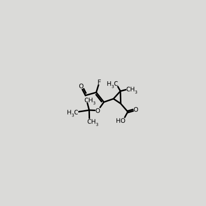 CC(C)(C)OC(=C(F)C=O)C1C(C(=O)O)C1(C)C